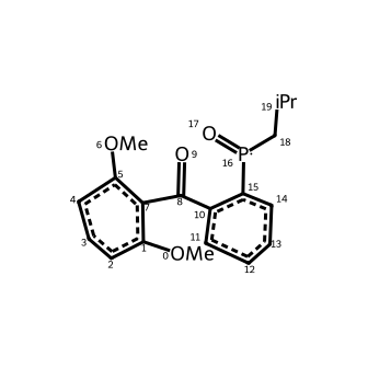 COc1cccc(OC)c1C(=O)c1ccccc1[P](=O)CC(C)C